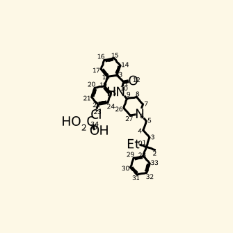 CCC(C)(CCCN1CCC(NC(=O)c2ccccc2-c2ccc(Cl)cc2)CC1)c1ccccc1.O=C(O)O